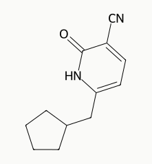 N#Cc1ccc(CC2CCCC2)[nH]c1=O